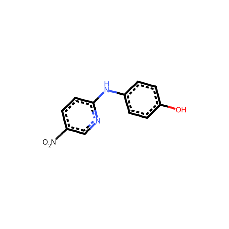 O=[N+]([O-])c1ccc(Nc2ccc(O)cc2)nc1